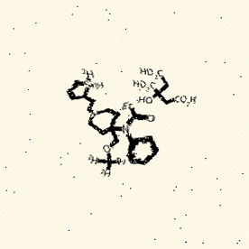 O=C(O)CC(O)(CC(=O)O)C(=O)O.[2H]C([2H])([2H])OCC1(N(C(=O)CC)c2ccccc2)CCN(CCC2C=CCS2([2H])[2H])CC1